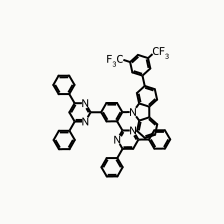 FC(F)(F)c1cc(-c2ccc3c4ccccc4n(-c4ccc(-c5nc(-c6ccccc6)cc(-c6ccccc6)n5)cc4-c4nc(-c5ccccc5)cc(-c5ccccc5)n4)c3c2)cc(C(F)(F)F)c1